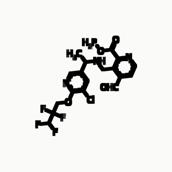 CC(NCc1c(C=O)ccnc1C(=O)OP)c1cnc(OCC(F)(F)C(F)F)c(Cl)c1